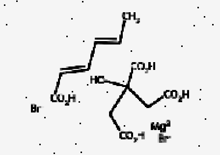 CC=CC=CC(=O)O.O=C(O)CC(O)(CC(=O)O)C(=O)O.[Br-].[Br-].[Mg+2]